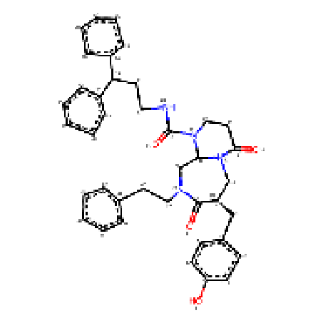 O=C1[C@H](Cc2ccc(O)cc2)CN2C(=O)CCN(C(=O)NCCC(c3ccccc3)c3ccccc3)C2CN1CCc1ccccc1